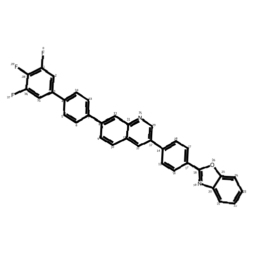 Fc1cc(-c2ccc(-c3ccc4cc(-c5ccc(-c6nc7ccccc7o6)cc5)cnc4c3)cc2)cc(F)c1F